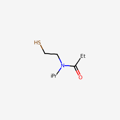 CCC(=O)N(CCS)C(C)C